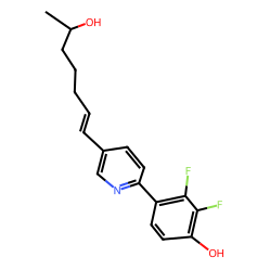 CC(O)CCC/C=C/c1ccc(-c2ccc(O)c(F)c2F)nc1